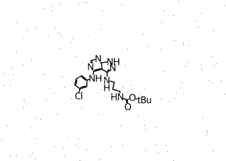 CC(C)(C)OC(=O)NCCCNc1n[nH]c2ncnc(Nc3cccc(Cl)c3)c12